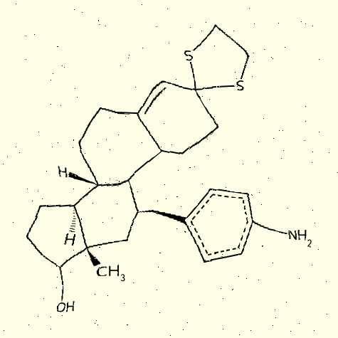 C[C@]12C[C@H](c3ccc(N)cc3)C3C4CCC5(C=C4CC[C@H]3[C@@H]1CCC2O)SCCS5